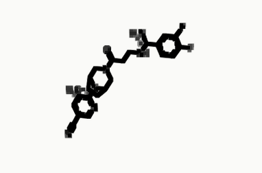 C[C@H]1CC2CN(C(=O)CCN[C@@H](N)c3ccc(F)c(F)c3)CC1N2c1ccc(C#N)cn1